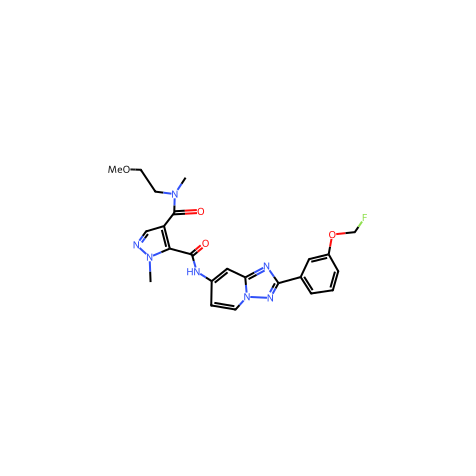 COCCN(C)C(=O)c1cnn(C)c1C(=O)Nc1ccn2nc(-c3cccc(OCF)c3)nc2c1